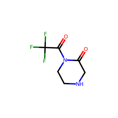 O=C1CNCCN1C(=O)C(F)(F)F